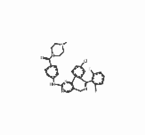 CN1CCN(C(=O)c2ccc(Nc3ncc4c(n3)-c3ccc(Cl)cc3C(c3c(F)cccc3F)=NC4)cc2)CC1